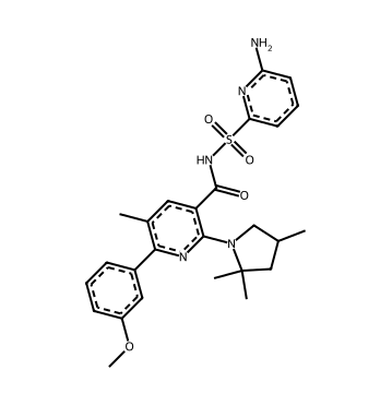 COc1cccc(-c2nc(N3CC(C)CC3(C)C)c(C(=O)NS(=O)(=O)c3cccc(N)n3)cc2C)c1